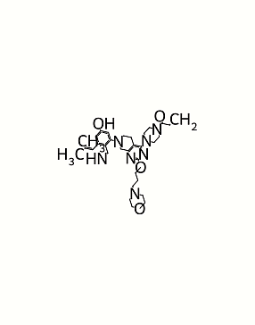 C=CC(=O)N1CCN(c2nc(OCCCN3CCOCC3)nc3c2CCN(c2cc(O)cc(C=C(C)C)c2C=N)C3)CC1